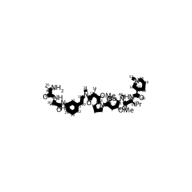 CC[C@H](C)[C@@H]([C@@H](CC(=O)N1CCC[C@H]1[C@H](OC)[C@@H](C)C(=O)N(C)CCc1cccc(NC(=O)[C@H](C)NC(=O)[C@H](C)N)c1)OC)N(C)C(=O)[C@@H](NC(=O)[C@@H]1CCCN(C)C1)C(C)C